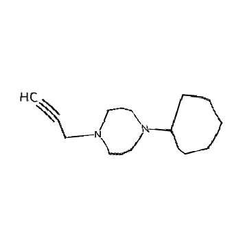 C#CCN1CCN(C2CCCCC2)CC1